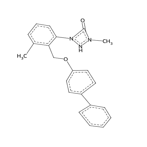 Cc1cccc(-n2[nH]n(C)c2=O)c1COc1ccc(-c2ccccc2)cc1